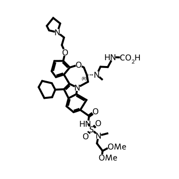 COC(CN(C)S(=O)(=O)NC(=O)c1ccc2c(C3CCCCC3)c3n(c2c1)C[C@@H](N(C)CCNC(=O)O)COc1c(OCCN2CCCC2)cccc1-3)OC